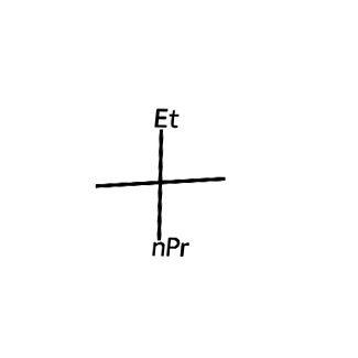 [CH2]CCC(C)(C)C[CH2]